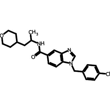 CC(CC1CCOCC1)NC(=O)c1ccc2c(c1)ncn2Cc1ccc(Cl)cc1